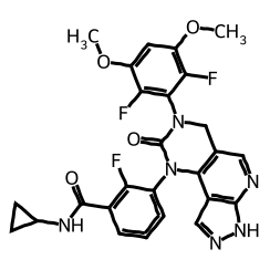 COc1cc(OC)c(F)c(N2Cc3cnc4[nH]ncc4c3N(C3=C=C=CC(C(=O)NC4CC4)=C3F)C2=O)c1F